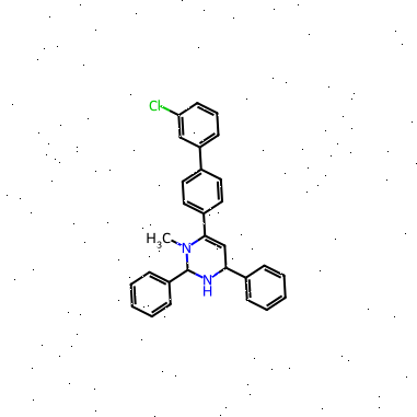 CN1C(c2ccc(-c3cccc(Cl)c3)cc2)=CC(c2ccccc2)NC1c1ccccc1